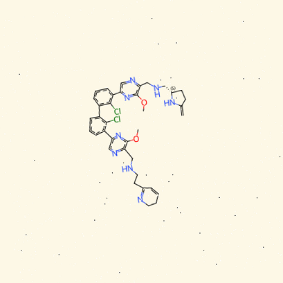 C=C1CC[C@@H](CNCc2ncc(-c3cccc(-c4cccc(-c5cnc(CNCCC6=NCCC=C6)c(OC)n5)c4Cl)c3Cl)nc2OC)N1